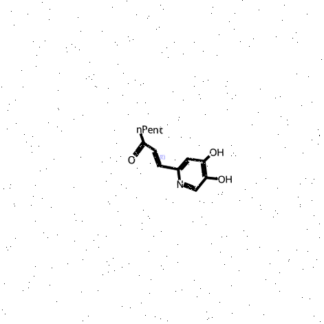 CCCCCC(=O)/C=C/c1cc(O)c(O)cn1